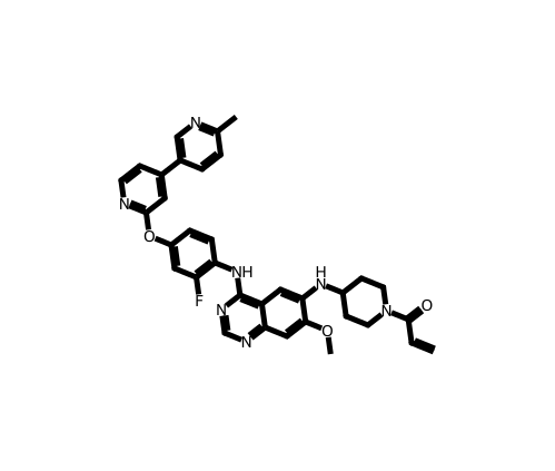 C=CC(=O)N1CCC(Nc2cc3c(Nc4ccc(Oc5cc(-c6ccc(C)nc6)ccn5)cc4F)ncnc3cc2OC)CC1